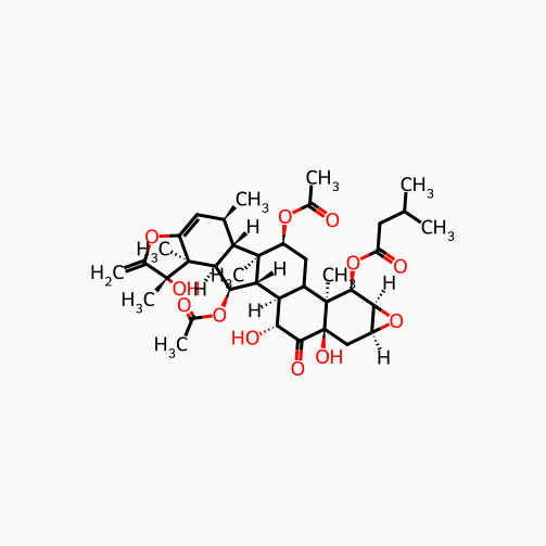 C=C1OC2=C[C@@H](C)[C@H]3[C@@H]([C@H](OC(C)=O)[C@H]4[C@H]5C(C[C@H](OC(C)=O)[C@]34C)[C@@]3(C)[C@@H](OC(=O)CC(C)C)[C@H]4O[C@H]4C[C@]3(O)C(=O)[C@@H]5O)[C@@]2(C)[C@]1(C)O